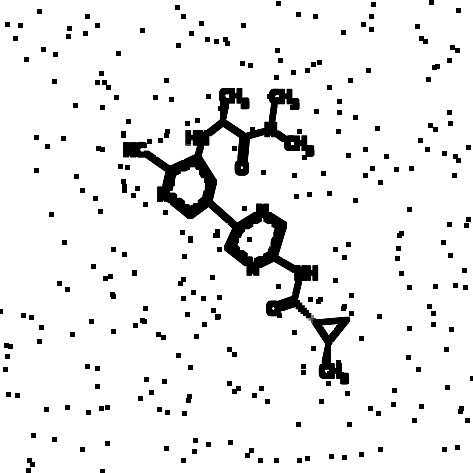 C[C@H](Nc1cc(-c2cnc(NC(=O)[C@@H]3C[C@H]3C)cn2)cnc1C#N)C(=O)N(C)C